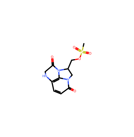 CS(=O)(=O)OCC1Cn2c3c(ccc2=O)NCC(=O)N31